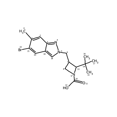 Cc1cc2nn(CC3CN(C(=O)O)C3C(C)(C)C)cc2cc1Br